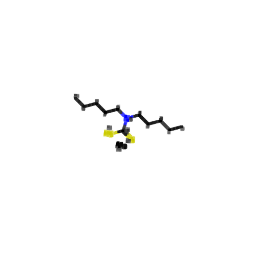 CCCCCN(CCCCC)C(=S)S.[Mo]